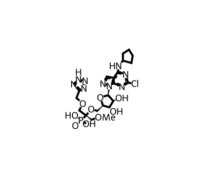 COC[C@@](COCc1nn[nH]n1)(OC[C@H]1O[C@@H](n2ncc3c(NC4CCCC4)nc(Cl)nc32)[C@H](O)[C@@H]1O)P(=O)(O)O